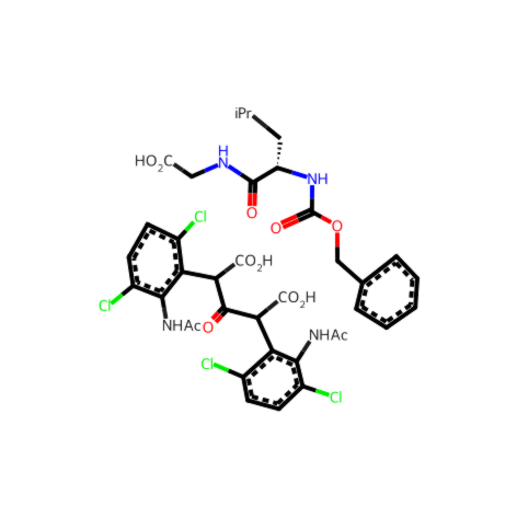 CC(=O)Nc1c(Cl)ccc(Cl)c1C(C(=O)O)C(=O)C(C(=O)O)c1c(Cl)ccc(Cl)c1NC(C)=O.CC(C)C[C@H](NC(=O)OCc1ccccc1)C(=O)NCC(=O)O